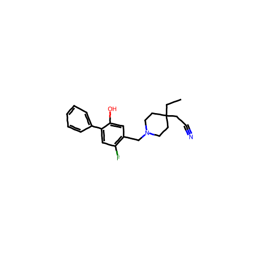 CCC1(CC#N)CCN(Cc2cc(O)c(-c3ccccc3)cc2F)CC1